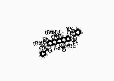 CCOc1cc2cc3c(N(C(C)=O)C(=O)OC(C)(C)C)c4cc5cc(N(C(=O)OC(C)(C)C)C(=O)c6ccccc6)c(OCC)cc5cc4c(N(C(C)=O)C(=O)NC(C)(C)C)c3cc2cc1N(C(=O)OC(C)C)C(=O)c1ccccc1